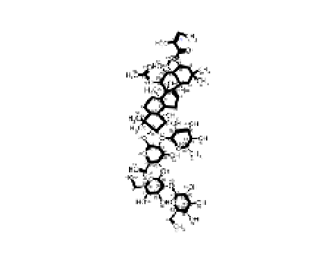 C/C=C(/C)C(=O)O[C@H]1CC(C)(C)C[C@H]2C3=CCC4[C@@]5(C)CC[C@H](O[C@@H]6O[C@H](C(=O)O)[C@@H](O[C@@H]7O[C@H](CO)[C@H](O)[C@H](O)[C@H]7O[C@@H]7O[C@H](CC)[C@@H](O)[C@H](O)[C@H]7O)[C@H](O)[C@H]6OC6O[C@@H](C)[C@H](O)[C@@H](O)[C@H]6O)C(C)(C)C5CC[C@@]4(C)[C@]3(C)[C@@H](OC(C)=O)[C@@H](O)[C@@]12CC